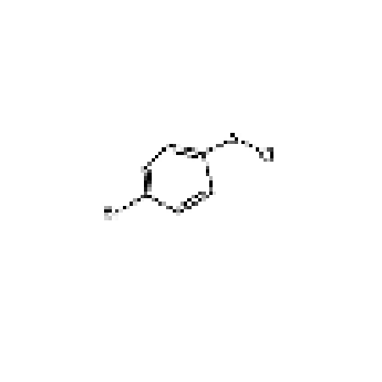 ClSc1ccc(Br)cc1